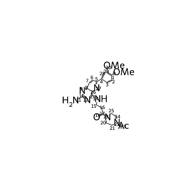 COc1ccc(-c2ccc3nc(N)nc(NCCC(=O)N4CCN(C(C)=O)CC4)c3n2)cc1OC